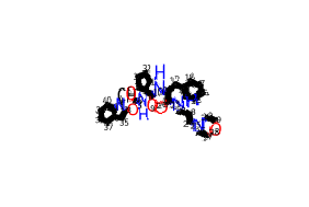 Cn1c(OC(=O)NC2(C(=O)NC(Cc3ccccc3)C(=O)NCCCN3CCOCC3)CCCC2)cc2ccccc21